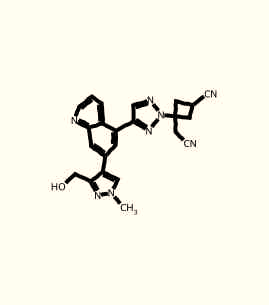 Cn1cc(-c2cc(-c3cnn(C4(CC#N)CC(C#N)C4)n3)c3cccnc3c2)c(CO)n1